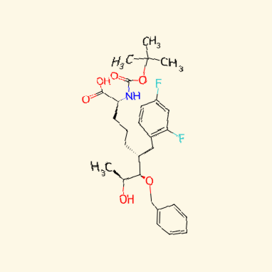 C[C@H](O)[C@H](OCc1ccccc1)[C@H](CCC[C@H](NC(=O)OC(C)(C)C)C(=O)O)Cc1ccc(F)cc1F